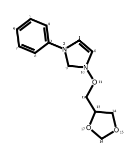 C1=CN(c2ccccc2)CN1OCC1COCO1